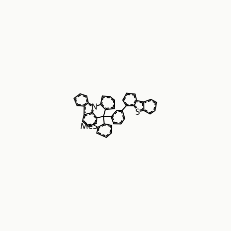 CSc1ccccc1C1(c2cccc(-c3cccc4c3sc3ccccc34)c2)c2ccccc2-n2c3ccccc3c3cccc1c32